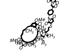 COc1cc2cc(c1Cl)N(C)C(O)C[C@H](OC(=O)[C@H](C)N(C)C(=O)CCS[C@H]1CC(=O)N(C[C@H]3CC[C@H](C(=O)CN4C(=O)CCC4=O)CC3)C1=O)[C@]1(C)O[C@H]1[C@H](C)[C@@H]1C[C@@](O)(NC(=O)O1)[C@H](OC)/C=C/C=C(\C)C2